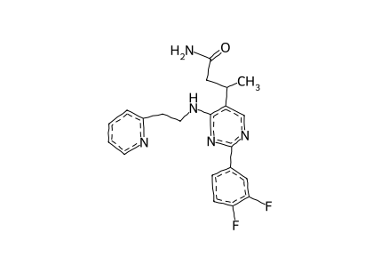 CC(CC(N)=O)c1cnc(-c2ccc(F)c(F)c2)nc1NCCc1ccccn1